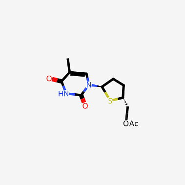 CC(=O)OC[C@H]1CC[C@H](n2cc(C)c(=O)[nH]c2=O)S1